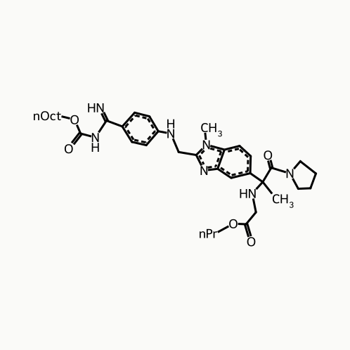 CCCCCCCCOC(=O)NC(=N)c1ccc(NCc2nc3cc(C(C)(NCC(=O)OCCC)C(=O)N4CCCC4)ccc3n2C)cc1